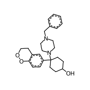 OC1CCC(c2ccc3c(c2)CCOO3)(N2CCN(Cc3ccccc3)CC2)CC1